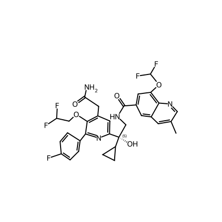 Cc1cnc2c(OC(F)F)cc(C(=O)NC[C@](O)(c3cc(CC(N)=O)c(OCC(F)F)c(-c4ccc(F)cc4)n3)C3CC3)cc2c1